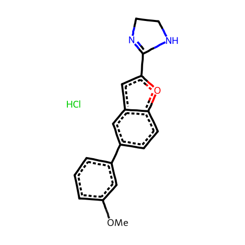 COc1cccc(-c2ccc3oc(C4=NCCN4)cc3c2)c1.Cl